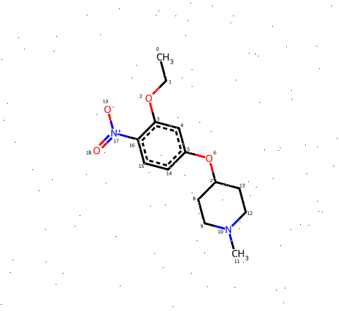 CCOc1cc(OC2CCN(C)CC2)ccc1[N+](=O)[O-]